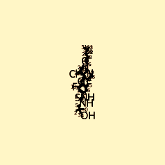 CC(C)(CO)CNC(=S)Nc1cc(F)c(Oc2ccnc3c2c(Cl)cn3COCC[Si](C)(C)C)c(F)c1